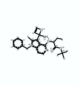 CCC(Oc1nccc2c1c(C1(N)C=CO1)c(C)n2Cc1ccccc1)C(=O)OC(C)(C)C